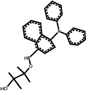 CC(C)(O)C(C)(C)OBc1ccc(N(c2ccccc2)c2ccccc2)c2ccccc12